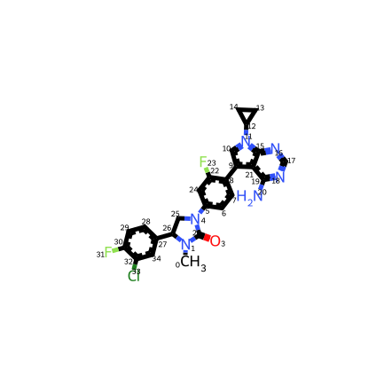 CN1C(=O)N(c2ccc(-c3cn(C4CC4)c4ncnc(N)c34)c(F)c2)CC1c1ccc(F)c(Cl)c1